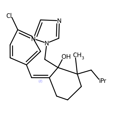 CC(C)CC1(C)CCC/C(=C/c2ccc(Cl)cc2)C1(O)Cn1cncn1